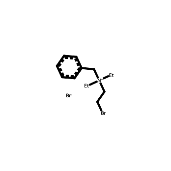 CC[N+](CC)(CCBr)Cc1ccccc1.[Br-]